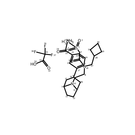 CS(=O)(=O)CC(=O)N(CCN1C2CCC1CC(c1cccc(C(N)=O)c1)C2)CC1CCC1.O=C(O)C(F)(F)F